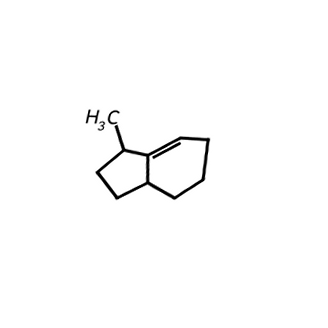 CC1CCC2CCCC=C12